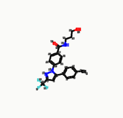 Cc1ccc(-c2cc(C(F)(F)F)nn2-c2ccc(C(=O)NCCCO)cc2)cc1